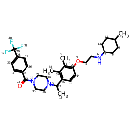 Cc1c(OCCNC2CCC(C)CC2)ccc(C(C)N2CCN(C(=O)c3ccc(C(F)(F)F)cc3)CC2)c1C